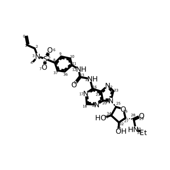 C=CCN(C)S(=O)(=O)c1ccc(NC(=O)Nc2ncnc3c2ncn3[C@@H]2O[C@H](C(=O)NCC)C(O)C2O)cc1